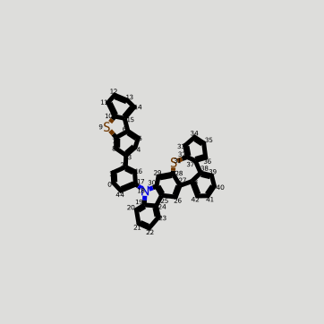 c1cc(-c2ccc3c(c2)sc2ccccc23)cc(-n2c3ccccc3c3cc4c(cc32)Sc2ccccc2-c2ccccc2-4)c1